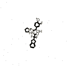 COc1ccc(C(O)[C@@H](CN2CCCC2)NC(=O)C(F)(F)C2Cc3ccccc3C2)cc1F